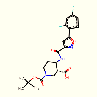 CC(C)(C)OC(=O)N1CC[C@@H](NC(=O)c2cc(-c3ccc(F)cc3F)on2)[C@H](C(=O)O)C1